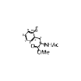 COC(=O)C(Cc1ccccc1F)NC(C)=O